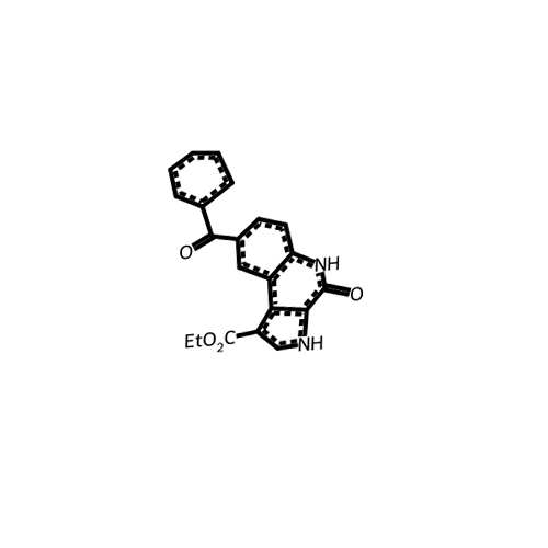 CCOC(=O)c1c[nH]c2c(=O)[nH]c3ccc(C(=O)c4ccccc4)cc3c12